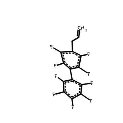 C=CCc1c(F)c(F)c(-c2c(F)c(F)c(F)c(F)c2F)c(F)c1F